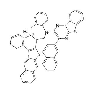 C1=CC2=C(CC1)c1c(sc3cc4ccccc4cc13)C1CN(c3nc4c(nc3-c3ccc5ccccc5c3)sc3ccccc34)c3ccccc3C[C@H]21